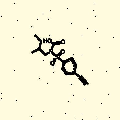 [C]#Cc1ccc(S(=O)(=O)N(CC(C)CC)C(=O)O)cc1